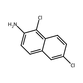 Nc1ccc2cc(Cl)ccc2c1Cl